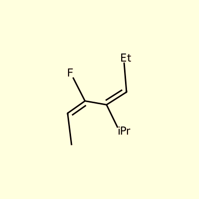 C/C=C(F)\C(=C/CC)C(C)C